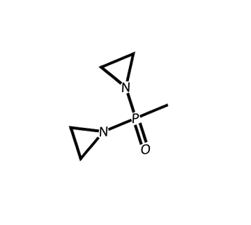 CP(=O)(N1CC1)N1CC1